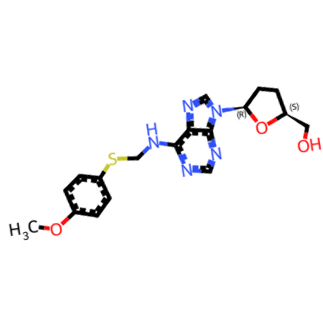 COc1ccc(SCNc2ncnc3c2ncn3[C@H]2CC[C@@H](CO)O2)cc1